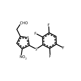 O=CCc1cc([N+](=O)[O-])c(Sc2c(F)c(F)cc(F)c2F)s1